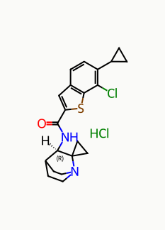 Cl.O=C(N[C@@H]1C2CCN(CC2)C12CC2)c1cc2ccc(C3CC3)c(Cl)c2s1